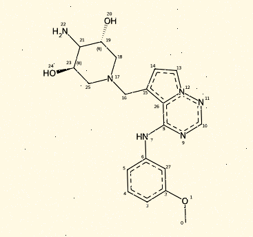 COc1cccc(Nc2ncnn3ccc(CN4C[C@@H](O)C(N)[C@H](O)C4)c23)c1